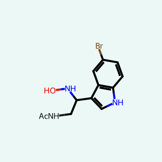 CC(=O)NCC(NO)c1c[nH]c2ccc(Br)cc12